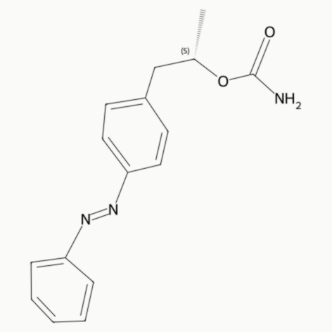 C[C@@H](Cc1ccc(N=Nc2ccccc2)cc1)OC(N)=O